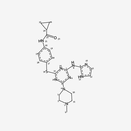 CN1CCN(c2nc(Nc3ncc[nH]3)nc(Sc3ccc(NC(=O)C4CC4)cc3)n2)CC1